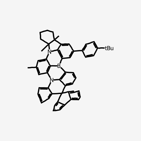 Cc1cc2c3c(c1)N1c4c(cc(-c5ccc(C(C)(C)C)cc5)cc4C4(C)CCCCC14C)B3c1cccc3c1N2c1ccccc1C31c2ccccc2-c2ccccc21